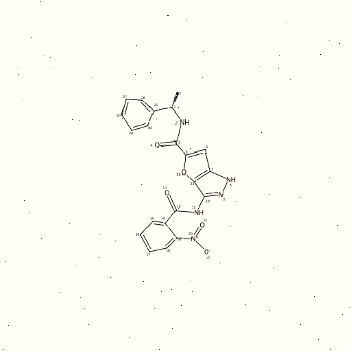 C[C@@H](NC(=O)c1cc2[nH]nc(NC(=O)c3ccccc3[N+](=O)[O-])c2o1)c1ccccc1